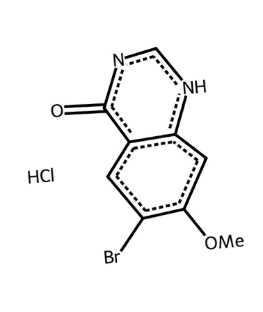 COc1cc2[nH]cnc(=O)c2cc1Br.Cl